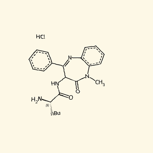 CCCC[C@H](N)C(=O)NC1C(=O)N(C)c2ccccc2N=C1c1ccccc1.Cl